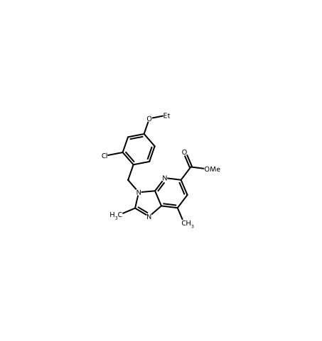 CCOc1ccc(Cn2c(C)nc3c(C)cc(C(=O)OC)nc32)c(Cl)c1